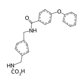 O=C(O)NCc1ccc(CNC(=O)c2ccc(Oc3ccccc3)cc2)cc1